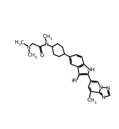 Cc1cc(-c2[nH]c3ccc(C4CCC(N(C)C(=O)CN(C)C)CC4)cc3c2C(C)C)cn2ncnc12